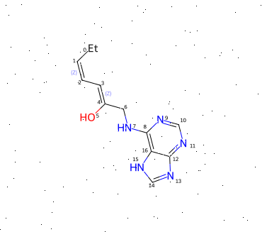 CC/C=C\C=C(/O)CNc1ncnc2nc[nH]c12